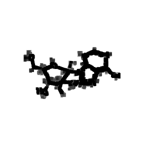 C[C@@]1(n2cnc3c(O)ncnc32)O[C@H](CO)[C@@H](O)[C@@]1(C)O